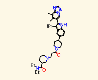 CCN(CC)C(=O)C1CCCN(CCC(=O)N2CCC(c3ccc4[nH]c(-c5cn6ncnc6c(C)c5C)c(C(C)C)c4c3)CC2)C1